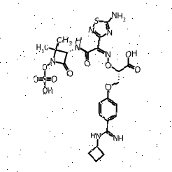 CC1(C)[C@H](NC(=O)/C(=N\O[C@@H](COc2ccc(C(=N)NC3CCC3)cc2)C(=O)O)c2nsc(N)n2)C(=O)N1OS(=O)(=O)O